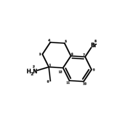 CC1(N)CCCc2c(Br)cccc21